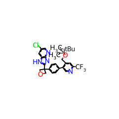 CC(C)(C)[Si](C)(C)OCc1cc(C(F)(F)F)ncc1-c1ccc(C2(c3nc4ncc(Cl)cc4[nH]3)COC2)cc1